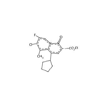 CCOC(=O)c1cc(C2CCCC2)c2c(C)c(Cl)c(F)cn2c1=O